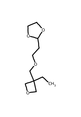 CCC1(COCCC2OCCO2)COC1